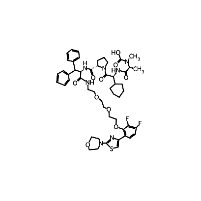 C[C@@H](C(=O)N[C@H](C(=O)N1CCC[C@H]1C(=O)N[C@H](C(=O)NCCOCCOCCOc1c(-c2csc(N3CCOCC3)n2)ccc(F)c1F)C(c1ccccc1)c1ccccc1)C1CCCCC1)N(C)C(=O)O